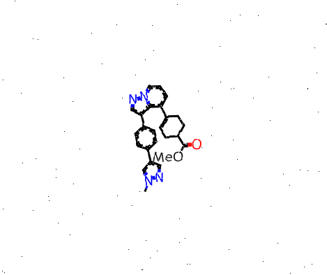 COC(=O)C1CC=C(c2cccn3ncc(-c4ccc(-c5cnn(C)c5)cc4)c23)CC1